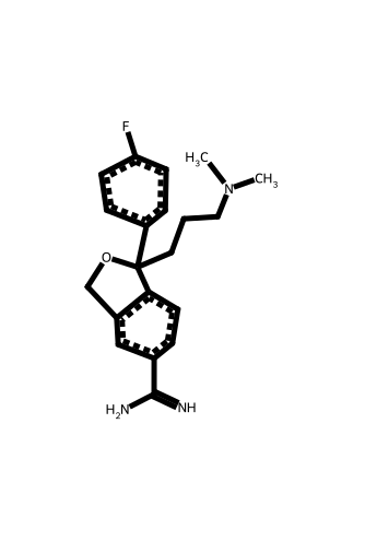 CN(C)CCCC1(c2ccc(F)cc2)OCc2cc(C(=N)N)ccc21